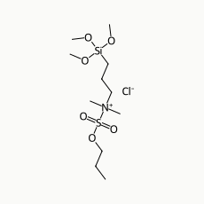 CCCOS(=O)(=O)[N+](C)(C)CCC[Si](OC)(OC)OC.[Cl-]